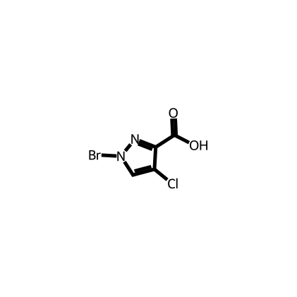 O=C(O)c1nn(Br)cc1Cl